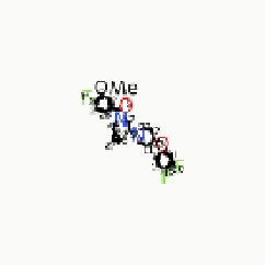 COc1cc(C(=O)N(CCN2CCC(Oc3ccc(F)c(F)c3)CC2)CC2CC2)ccc1F